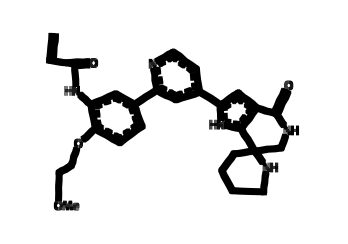 C=CC(=O)Nc1cc(-c2cc(-c3cc4c([nH]3)C3(CCCCN3)CNC4=O)ccn2)ccc1OCCOC